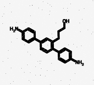 Nc1ccc(-c2ccc(-c3ccc(N)cc3)c(CCCO)c2)cc1